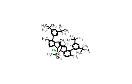 CCC1=Cc2c(ccc(C)c2-c2cc(C(C)(C)C)cc(C(C)(C)C)c2)[CH]1[Zr]([Cl])([Cl])([CH]1C(CC)=Cc2c1ccc(C)c2-c1cc(C(C)(C)C)cc(C(C)(C)C)c1)[SiH](C)C